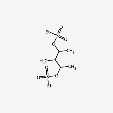 CCS(=O)(=O)OC(C)C(C)C(C)OS(=O)(=O)CC